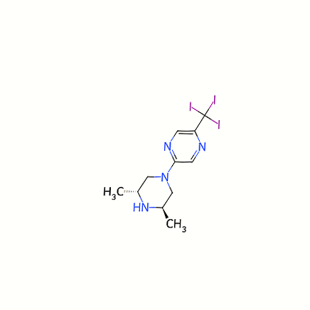 C[C@@H]1CN(c2cnc(C(I)(I)I)cn2)C[C@@H](C)N1